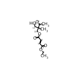 CCOC(=O)/C=C/C(=O)OCC(C)(CO)C(C)=O